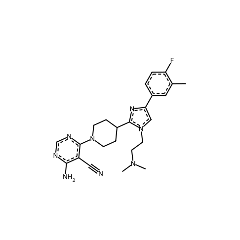 Cc1cc(-c2cn(CCN(C)C)c(C3CCN(c4ncnc(N)c4C#N)CC3)n2)ccc1F